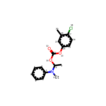 CCN(c1ccccc1)C(C)OC(=O)Oc1ccc(Cl)c(C)c1